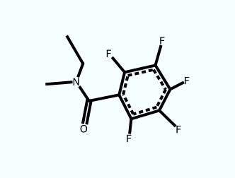 CCN(C)C(=O)c1c(F)c(F)c(F)c(F)c1F